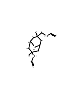 C=COCC1(C)CC2CC(C)(OC=C)CC(C1)O2